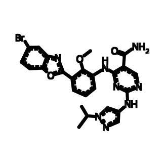 COc1c(Nc2nc(Nc3cnn(C(C)C)c3)ncc2C(N)=O)cccc1-c1nc2cc(Br)ccc2o1